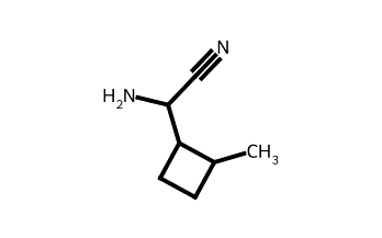 CC1CCC1C(N)C#N